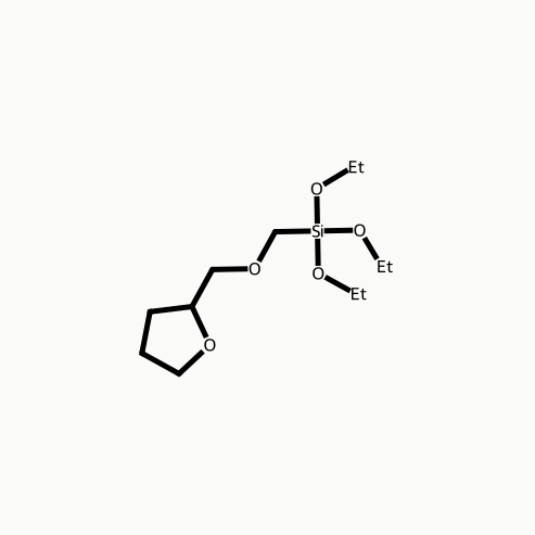 CCO[Si](COCC1CCCO1)(OCC)OCC